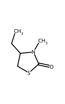 CCC1CSC(=O)N1C